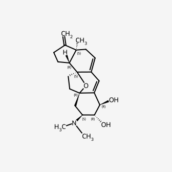 C=C1CC[C@@H]2[C@]1(C)CC=C1C=C3[C@@H](O)[C@H](O)[C@@H](N(C)C)C[C@]34CC[C@@]12O4